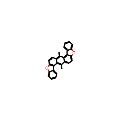 Cc1c2ccc3oc4ccccc4c3c2c(C)c2ccc3oc4ccccc4c3c12